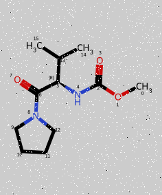 COC(=O)N[C@@H](C(=O)N1CCCC1)C(C)C